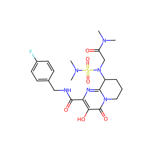 CN(C)C(=O)CN(C1CCCn2c1nc(C(=O)NCc1ccc(F)cc1)c(O)c2=O)S(=O)(=O)N(C)C